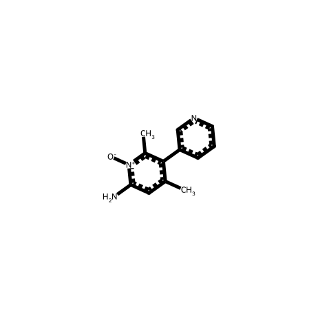 Cc1cc(N)[n+]([O-])c(C)c1-c1cccnc1